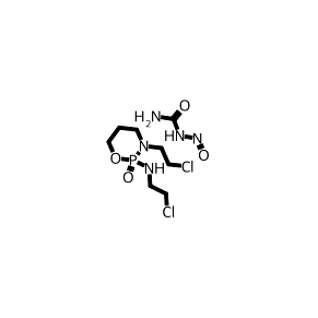 NC(=O)NN=O.O=P1(NCCCl)OCCCN1CCCl